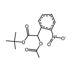 CC(=O)OC(C(=O)OC(C)(C)C)c1ccccc1[N+](=O)[O-]